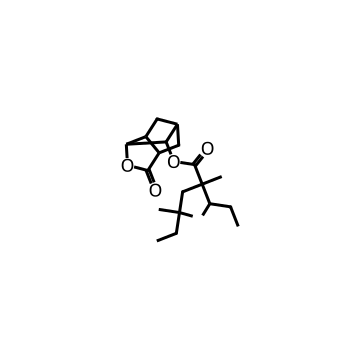 CCC(C)C(C)(CC(C)(C)CC)C(=O)OC1C2CC3C(=O)OC1C3C2